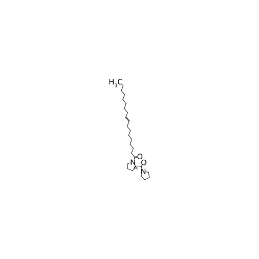 CCCCCCCCC=CCCCCCCCC(=O)N1CCC[C@H]1C(=O)N1CCCC1